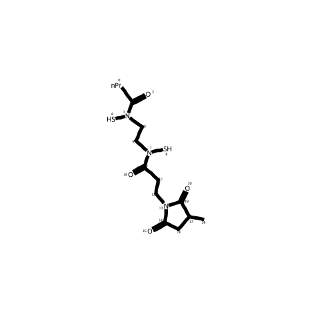 CCCC(=O)N(S)CCN(S)C(=O)CCN1C(=O)CC(C)C1=O